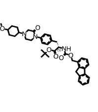 COC1CCC(N2CCN(c3ccc(C[C@H](NC(=O)OCc4cccc5c4Cc4ccccc4-5)C(=O)OC(C)(C)C)cc3)C(=O)C2)CC1